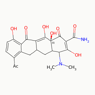 CC(=O)c1ccc(O)c2c1CC1CC3C(N(C)C)C(O)=C(C(N)=O)C(=O)[C@@]3(O)C(O)=C1C2=O